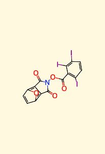 O=C(ON1C(=O)c2c(c3ccc2o3)C1=O)c1c(I)ccc(I)c1I